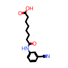 N#Cc1cccc(NC(=O)CCCCCCC(=O)O)c1